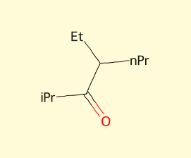 CCCC(CC)C(=O)C(C)C